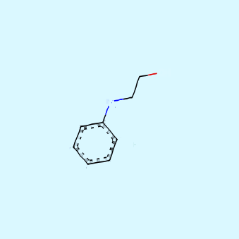 Cl.OCCNc1ccccc1